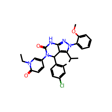 CCn1cc(N2C(=O)Nc3nn(-c4ccccc4OC)c(C(C)C)c3C2c2ccc(Cl)cc2C)ccc1=O